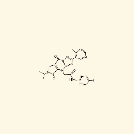 Cc1ccncc1-c1cc2n(CC(=O)Nc3ccc(F)cn3)c3c(c(=O)n2n1)CN(C(C)C)C3=O